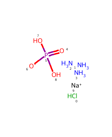 Cl.N.N.N.O=P([O-])(O)O.[Na+]